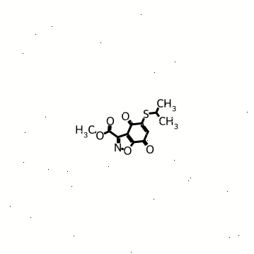 COC(=O)c1noc2c1C(=O)C(SC(C)C)=CC2=O